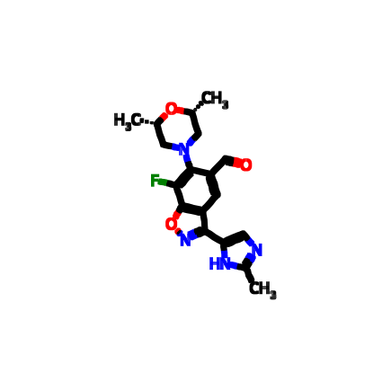 Cc1ncc(-c2noc3c(F)c(N4C[C@@H](C)O[C@@H](C)C4)c(C=O)cc23)[nH]1